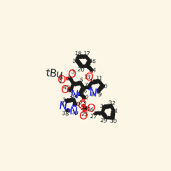 CC(C)(C)OC(=O)c1cc(-c2ncccc2OCc2ccccc2)c(COC(=O)OCc2ccccc2)n(-c2cncnc2)c1=O